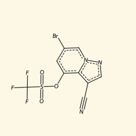 N#Cc1cnn2cc(Br)cc(OS(=O)(=O)C(F)(F)F)c12